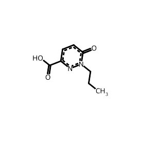 CCCn1nc(C(=O)O)ccc1=O